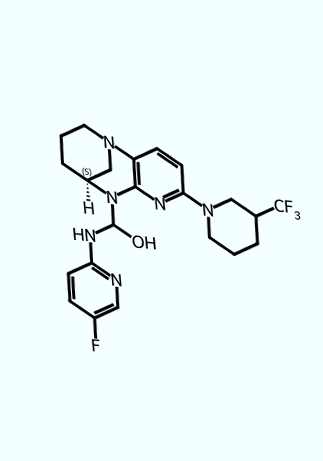 OC(Nc1ccc(F)cn1)N1c2nc(N3CCCC(C(F)(F)F)C3)ccc2N2CCC[C@H]1C2